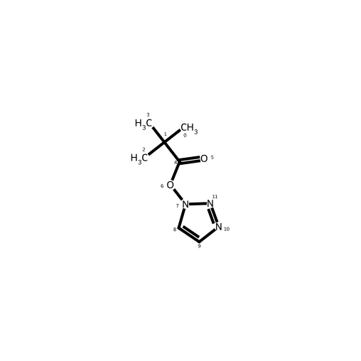 CC(C)(C)C(=O)On1ccnn1